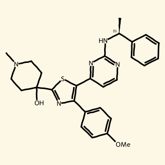 COc1ccc(-c2nc(C3(O)CCN(C)CC3)sc2-c2ccnc(N[C@@H](C)c3ccccc3)n2)cc1